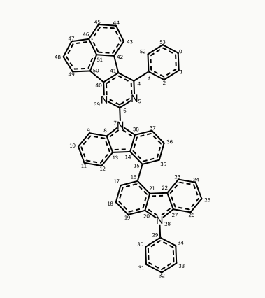 c1ccc(-c2nc(-n3c4ccccc4c4c(-c5cccc6c5c5ccccc5n6-c5ccccc5)cccc43)nc3c2-c2cccc4cccc-3c24)cc1